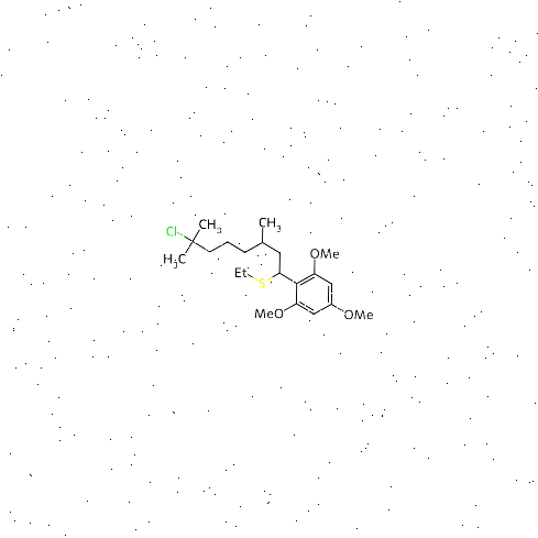 CCSC(CC(C)CCCC(C)(C)Cl)c1c(OC)cc(OC)cc1OC